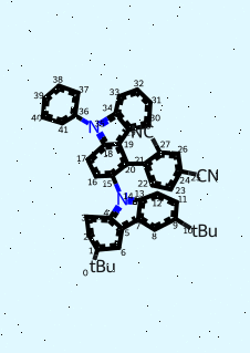 CC(C)(C)c1ccc2c(c1)c1cc(C(C)(C)C)ccc1n2-c1ccc2c(c1-c1ccc(C#N)cc1C#N)c1ccccc1n2-c1ccccc1